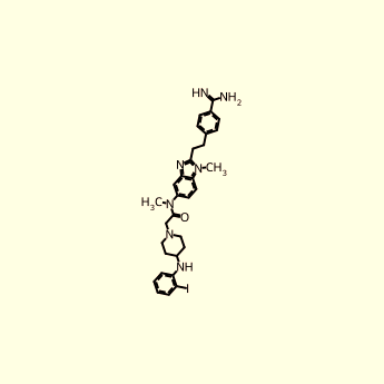 CN(C(=O)CN1CCC(Nc2ccccc2I)CC1)c1ccc2c(c1)nc(CCc1ccc(C(=N)N)cc1)n2C